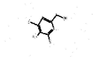 Nc1c(Cl)cc(CO)nc1Cl